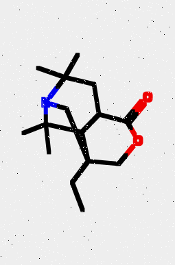 CCC12COC(=O)C3CC(C)(C)N(C1)C(C)(C)C32